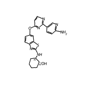 Nc1ccc(-c2nccc(Oc3ccc4nc(N[C@@H]5CCCC[C@H]5O)sc4c3)n2)cn1